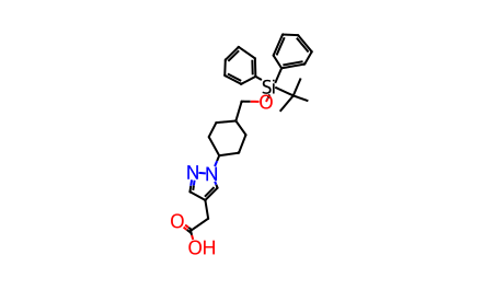 CC(C)(C)[Si](OCC1CCC(n2cc(CC(=O)O)cn2)CC1)(c1ccccc1)c1ccccc1